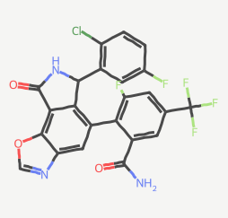 NC(=O)c1cc(C(F)(F)F)cc(F)c1-c1cc2ncoc2c2c1C(c1cc(F)ccc1Cl)NC2=O